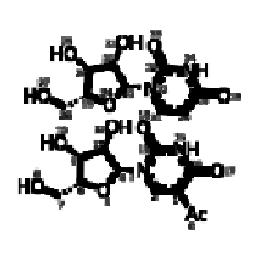 CC(=O)c1cn([C@@H]2O[C@H](CO)[C@@H](O)[C@H]2O)c(=O)[nH]c1=O.O=c1ccn([C@@H]2O[C@H](CO)[C@@H](O)[C@H]2O)c(=O)[nH]1